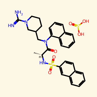 C[C@@H](NS(=O)(=O)c1ccc2ccccc2c1)C(=O)N(CC1CCCN(C(=N)N)C1)c1cccc2ccccc12.O=S(O)O